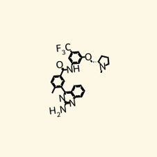 Cc1ccc(C(=O)Nc2cc(OC[C@@H]3CCCN3C)cc(C(F)(F)F)c2)cc1-c1nc(N)nc2ccccc12